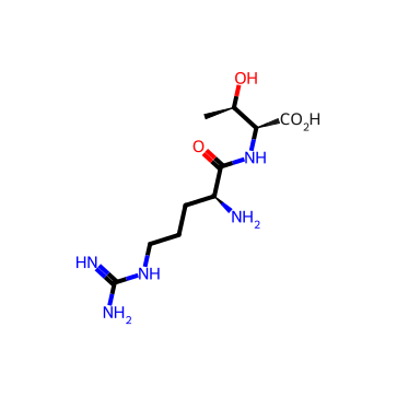 C[C@@H](O)[C@H](NC(=O)[C@@H](N)CCCNC(=N)N)C(=O)O